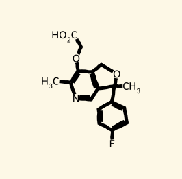 Cc1ncc2c(c1OCC(=O)O)COC2(C)c1ccc(F)cc1